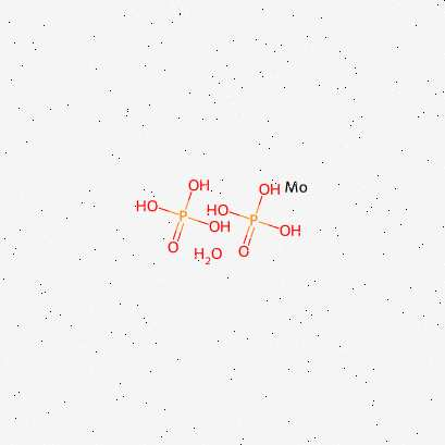 O.O=P(O)(O)O.O=P(O)(O)O.[Mo]